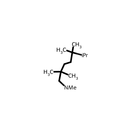 CNCC(C)(C)CCC(C)(C)C(C)C